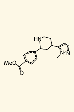 COC(=O)c1ccc(C2CC(c3ccnn3C)CCN2)cc1